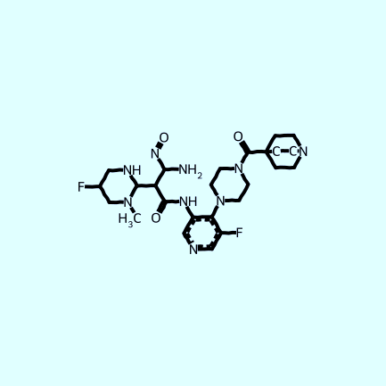 CN1CC(F)CNC1C(C(=O)Nc1cncc(F)c1N1CCN(C(=O)C23CCN(CC2)CC3)CC1)C(N)N=O